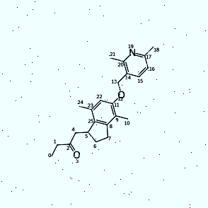 CCC(=O)CC1CCc2c(C)c(OCc3ccc(C)nc3C)cc(C)c21